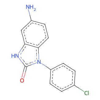 Nc1ccc2c(c1)[nH]c(=O)n2-c1ccc(Cl)cc1